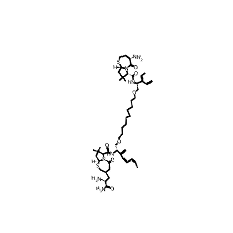 C=C/C(=C\C)[C@@H](COCCCCCCCCCCOC[C@@H](NC(=O)C1N2C(=O)CC(C[C@H](N)C(N)=O)CS[C@H]2CC1(C)C)C(=C)/C=C\C=C/C)NC(=O)[C@H]1N2C(=O)[C@@H](N)CCS[C@H]2CC1(C)C